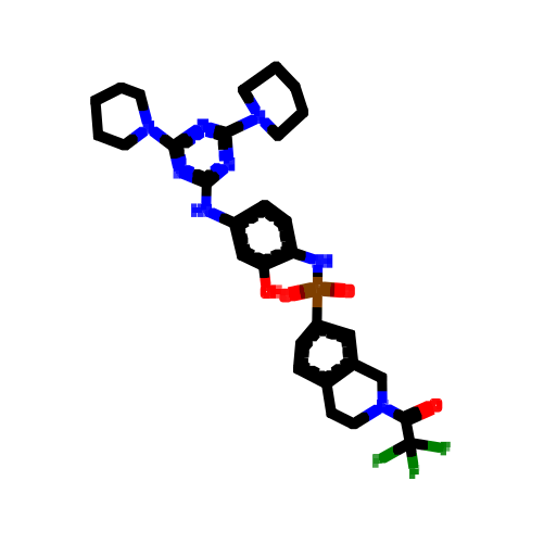 O=C(N1CCc2ccc(S(=O)(=O)Nc3ccc(Nc4nc(N5CCCCC5)nc(N5CCCCC5)n4)cc3O)cc2C1)C(F)(F)F